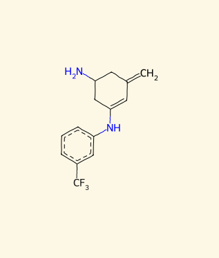 C=C1C=C(Nc2cccc(C(F)(F)F)c2)CC(N)C1